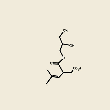 CC(C)=CC(CC(=O)O)C(=O)OCC(O)CO